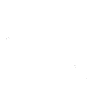 CC(C)C(=O)CCCCC1CCSS1